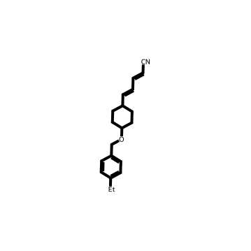 CCc1ccc(COC2CCC(C=CC=CC#N)CC2)cc1